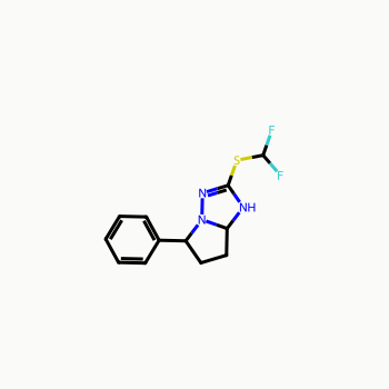 FC(F)SC1=NN2C(CCC2c2ccccc2)N1